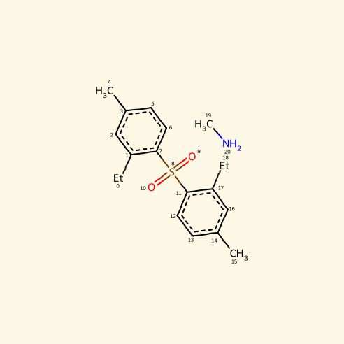 CCc1cc(C)ccc1S(=O)(=O)c1ccc(C)cc1CC.CN